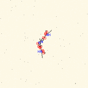 CCCCCCC(NC(=O)CCC(=O)Oc1ccc2nc3c(c(CC)c2c1)Cn1c-3cc2c(c1=O)COC(=O)[C@@]2(CC)OC(=O)CCC(=O)NC(CCCCCC)C(=O)OC(C)(C)C)C(=O)OC(C)(C)C